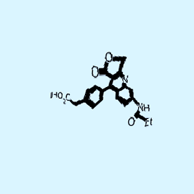 CCC(=O)Nc1ccc2c(-c3ccc(CC(=O)O)cc3)c3c(nc2c1)COC3=O